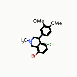 COc1ccc(C2CN(C)Cc3c(Br)cccc32)cc1OC.Cl